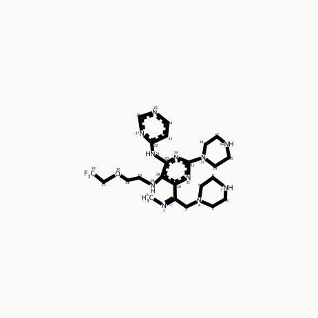 C/N=C(/CN1CCNCC1)c1nc(N2CCNCC2)nc(Nc2ccncn2)c1NCCOCC(F)(F)F